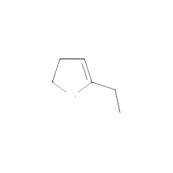 CCC1=CCCO1